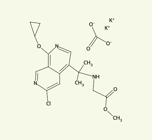 COC(=O)CNC(C)(C)c1cnc(OC2CC2)c2cnc(Cl)cc12.O=C([O-])[O-].[K+].[K+]